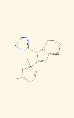 CC1=CC=CC(C)(C2=Cc3ccccc3C2c2ncc[nH]2)C1